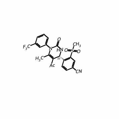 CC(=O)C1=C(C)N(c2cccc(C(F)(F)F)c2)C(=O)N[C@@H]1c1ccc(C#N)cc1S(C)(=O)=O